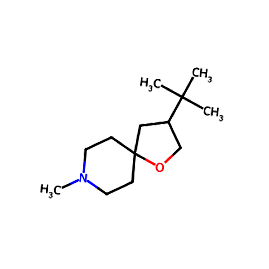 CN1CCC2(CC1)CC(C(C)(C)C)CO2